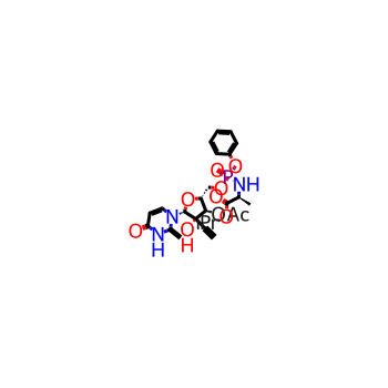 C#C[C@@]1(O)[C@H](OC(C)=O)[C@@H](COP(=O)(N[C@@H](C)C(=O)OC(C)C)Oc2ccccc2)O[C@H]1N1C=CC(=O)NC1=C